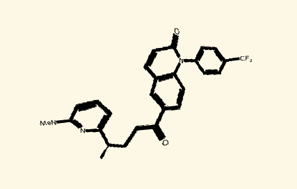 CNc1cccc([C@H](C)CCC(=O)c2ccc3c(ccc(=O)n3-c3ccc(C(F)(F)F)cc3)c2)n1